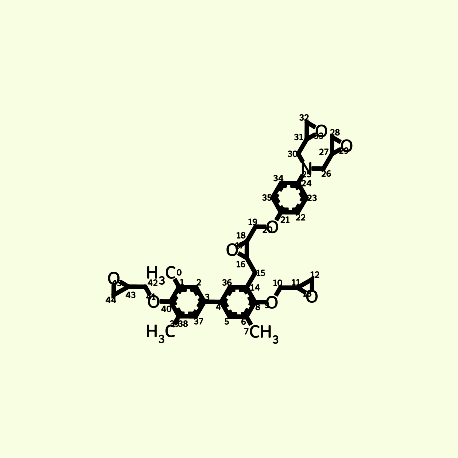 Cc1cc(-c2cc(C)c(OCC3CO3)c(CC3OC3COc3ccc(N(CC4CO4)CC4CO4)cc3)c2)cc(C)c1OCC1CO1